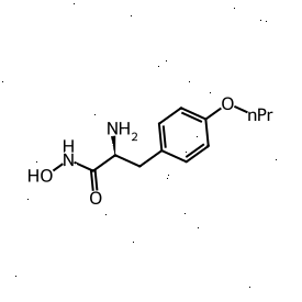 CCCOc1ccc(C[C@H](N)C(=O)NO)cc1